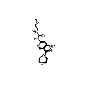 COCCNC(=O)Nc1cc2[nH]nc(N3CCOCC3)c2cn1